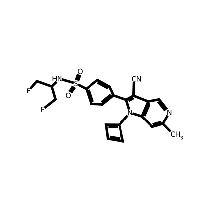 Cc1cc2c(cn1)c(C#N)c(-c1ccc(S(=O)(=O)NC(CF)CF)cc1)n2C1=CC=C1